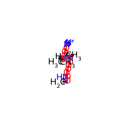 C=C1C=CC(=O)N1CCNC(=O)CCOCCOCCOCCOCCN1/C(=C/C=C\C=C/C2=[N+](CCOCCOCCOCCN=[N+]=[N-])c3ccccc3C2(C)C)C(C)(C)c2ccccc21